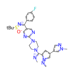 C=Nn1cc(-c2cnn(C)c2)cc1/C(=N\C)N1CCN(c2ncc(/C(=N\[S+]([O-])C(C)(C)C)c3ccc(F)cc3)cn2)CC1